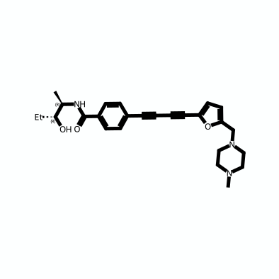 CC[C@@H](O)[C@@H](C)NC(=O)c1ccc(C#CC#Cc2ccc(CN3CCN(C)CC3)o2)cc1